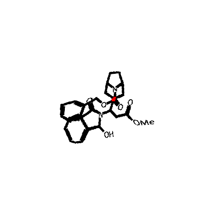 COC(=O)CC(C1CC2CCC(C1)N2C(=O)OCc1ccccc1)N1C(=O)c2ccccc2C1O